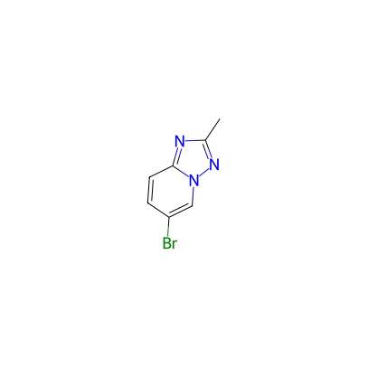 Cc1nc2ccc(Br)cn2n1